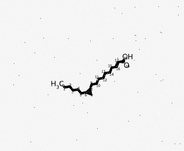 CCCCCCC1CC1CCCCCCCC=CC(=O)O